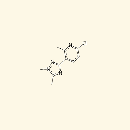 Cc1nc(Cl)ccc1-c1nc(C)n(C)n1